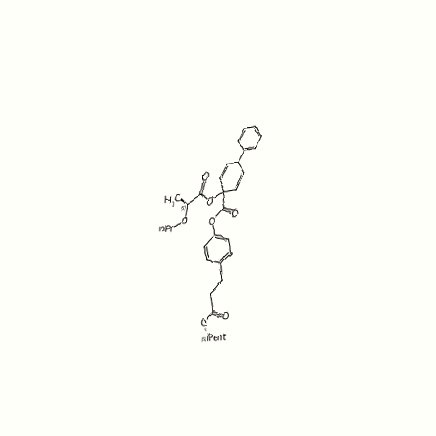 CCCO[C@@H](C)C(=O)OC1(C(=O)Oc2ccc(CCC(=O)O[C@@H](C)CCC)cc2)C=CC(c2ccccc2)C=C1